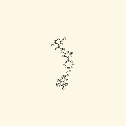 CC(C)C[C@@H](NC(=O)CNC(=O)c1cc(Cl)ccc1Cl)B1OCCN(CCCC(=O)NC(P(=O)(O)O)P(=O)(O)O)CCO1